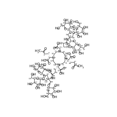 CC(=O)CC[C@@H](C(=O)O)N1CCN([C@@H](CCC(=O)NC(COC2OC(CO)C(O)C(O)C2O)(COC2OC(CO)C(O)C(O)C2O)COC2OC(CO)C(O)C(O)C2O)C(=O)O)CCN([C@@H](CCC(C)=O)C(=O)O)CCN([C@@H](CCC(=O)NC(COC2OC(CO)C(O)C(O)C2O)(COC2OC(CO)C(O)C(O)C2O)COC2OC(CO)C(O)C(O)C2O)C(=O)O)CC1